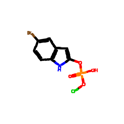 O=P(O)(OCl)Oc1cc2cc(Br)ccc2[nH]1